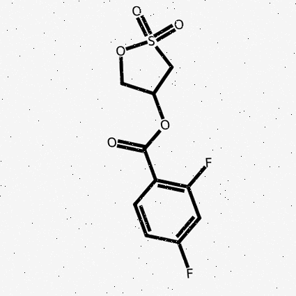 O=C(OC1COS(=O)(=O)C1)c1ccc(F)cc1F